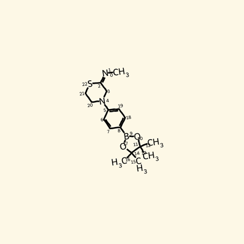 C/N=C1\CN(c2ccc(B3OC(C)(C)C(C)(C)O3)cc2)CCS1